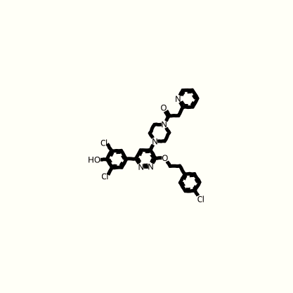 O=C(Cc1ccccn1)N1CCN(c2cc(-c3cc(Cl)c(O)c(Cl)c3)nnc2OCCc2ccc(Cl)cc2)CC1